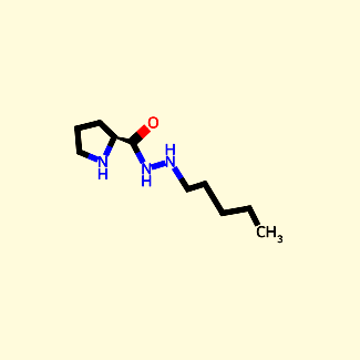 CCCCCNNC(=O)[C@@H]1CCCN1